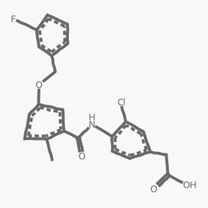 Cc1ccc(OCc2cccc(F)c2)cc1C(=O)Nc1ccc(CC(=O)O)cc1Cl